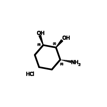 Cl.N[C@@H]1CCC[C@@H](O)[C@H]1O